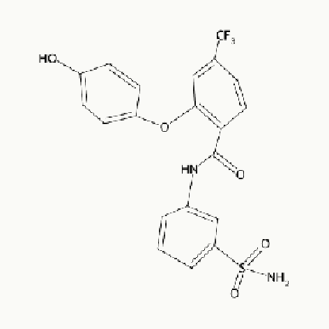 NS(=O)(=O)c1cccc(NC(=O)c2ccc(C(F)(F)F)cc2Oc2ccc(O)cc2)c1